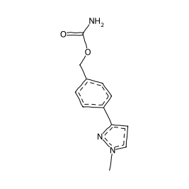 Cn1ccc(-c2ccc(COC(N)=O)cc2)n1